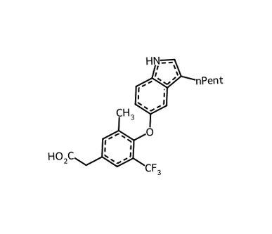 CCCCCc1c[nH]c2ccc(Oc3c(C)cc(CC(=O)O)cc3C(F)(F)F)cc12